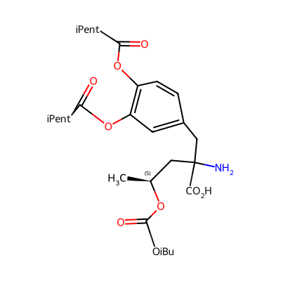 CCCC(C)C(=O)Oc1ccc(CC(N)(C[C@H](C)OC(=O)OCC(C)C)C(=O)O)cc1OC(=O)C(C)CCC